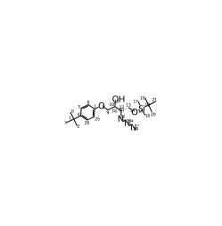 CC(C)(C)c1ccc(OC[C@@H](O)[C@H](CO[Si](C)(C)C(C)(C)C)N=[N+]=[N-])cc1